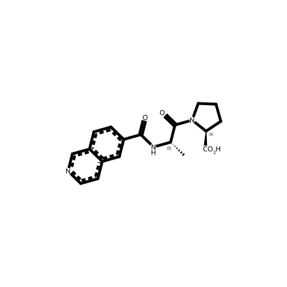 C[C@H](NC(=O)c1ccc2cnccc2c1)C(=O)N1CCC[C@H]1C(=O)O